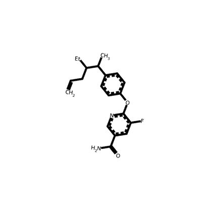 C=CCC(CC)C(C)c1ccc(Oc2ncc(C(N)=O)cc2F)cc1